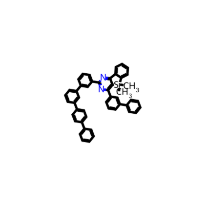 C[Si]1(C)c2ccccc2-c2nc(-c3cccc(-c4cccc(-c5ccc(-c6ccccc6)cc5)c4)c3)nc(-c3cccc(-c4ccccc4)c3)c21